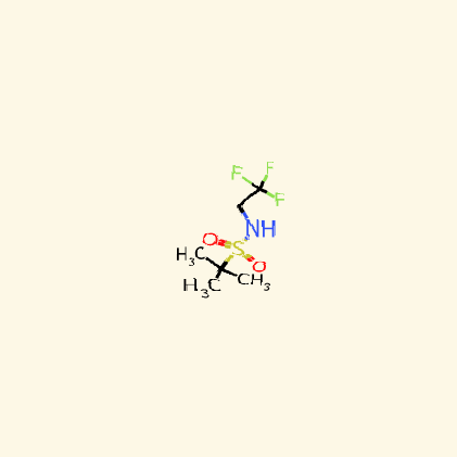 CC(C)(C)S(=O)(=O)NCC(F)(F)F